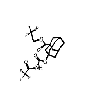 CC(F)(F)COC(=O)C12CC3CC(CC(OC(=O)NC(=O)C(F)(F)F)(C3)C1)C2